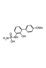 COc1ccc(-c2cccc(NP(N)(=O)O)c2O)cc1